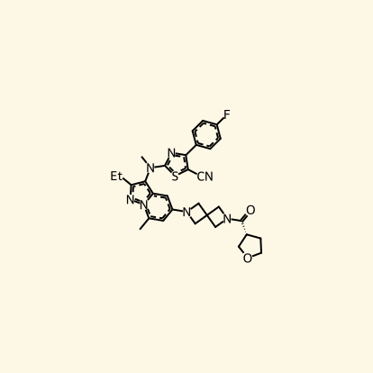 CCc1nn2c(C)cc(N3CC4(CN(C(=O)[C@@H]5CCOC5)C4)C3)cc2c1N(C)c1nc(-c2ccc(F)cc2)c(C#N)s1